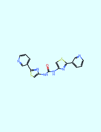 O=C(Nc1csc(-c2cccnc2)n1)Nc1csc(-c2cccnc2)n1